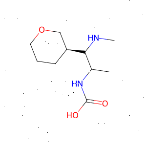 CNC(C(C)NC(=O)O)[C@H]1CCCOC1